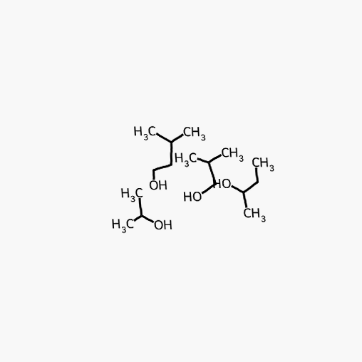 CC(C)CCO.CC(C)CO.CC(C)O.CCC(C)O